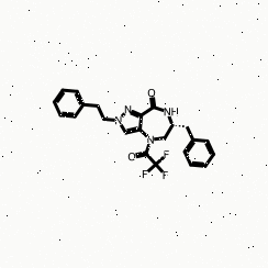 O=C1N[C@H](Cc2ccccc2)CN(C(=O)C(F)(F)F)c2cn(CCc3ccccc3)nc21